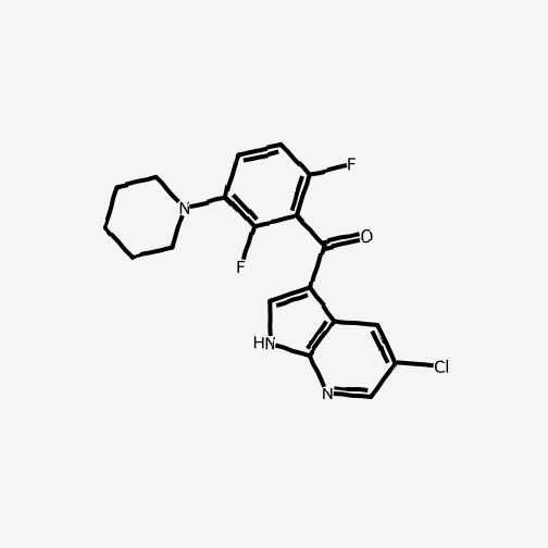 O=C(c1c(F)ccc(N2CCCCC2)c1F)c1c[nH]c2ncc(Cl)cc12